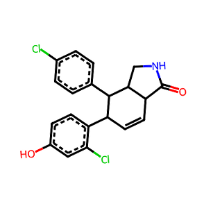 O=C1NCC2C1C=CC(c1ccc(O)cc1Cl)C2c1ccc(Cl)cc1